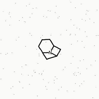 C1CC2CC3CC(C1)N23